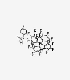 Cc1ccc(C[NH+](C)C)cc1.Fc1c(F)c(F)c([B-](c2c(F)c(F)c(F)c(F)c2F)(c2c(F)c(F)c(F)c(F)c2F)c2c(F)c(F)c(F)c(F)c2F)c(F)c1F